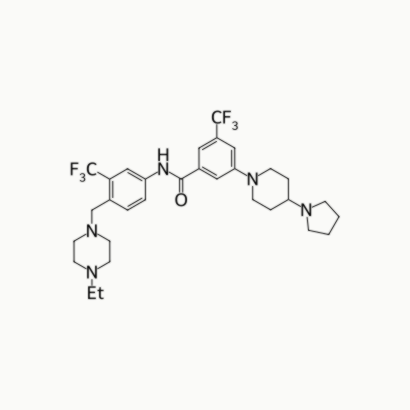 CCN1CCN(Cc2ccc(NC(=O)c3cc(N4CCC(N5CCCC5)CC4)cc(C(F)(F)F)c3)cc2C(F)(F)F)CC1